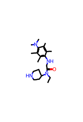 CCN(C(=O)CNc1c(C)c(C)c(N(C)C)c(C)c1C)C1CCNCC1